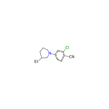 CCC1CCCN(c2ccc(C#N)c(Cl)c2)C1